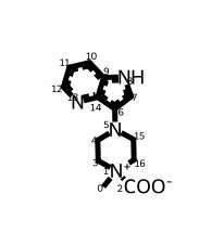 C[N+]1(C(=O)[O-])CCN(c2c[nH]c3cccnc23)CC1